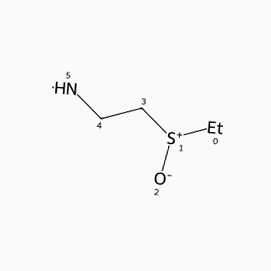 CC[S+]([O-])CC[NH]